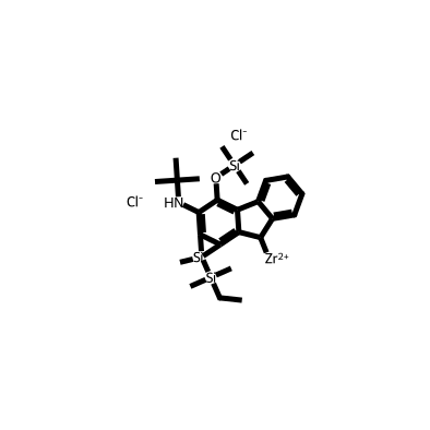 CC[Si](C)(C)[Si]1(C)c2c(NC(C)(C)C)c(O[Si](C)(C)C)c3c(c21)[CH]([Zr+2])c1ccccc1-3.[Cl-].[Cl-]